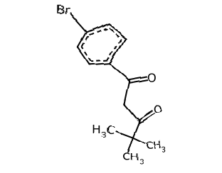 CC(C)(C)C(=O)CC(=O)c1ccc(Br)cc1